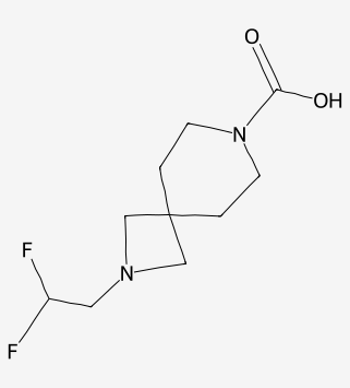 O=C(O)N1CCC2(CC1)CN(CC(F)F)C2